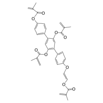 C=C(C)C(=O)O/C=C/Oc1ccc(-c2cc(OC(=O)C(=C)C)c(-c3ccc(OC(=O)C(=C)C)cc3)cc2OC(=O)C(=C)C)cc1